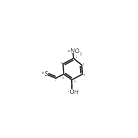 O=[N+]([O-])c1ccc(O)c(C=S)c1